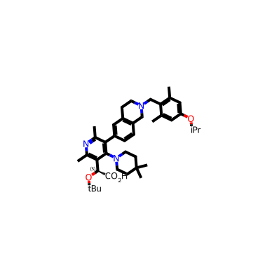 Cc1cc(OC(C)C)cc(C)c1CN1CCc2cc(-c3c(C)nc(C)c([C@H](OC(C)(C)C)C(=O)O)c3N3CCC(C)(C)CC3)ccc2C1